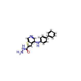 NNC(=O)c1cc2c(Nc3ccc(-c4ccccc4)cc3)cncc2s1